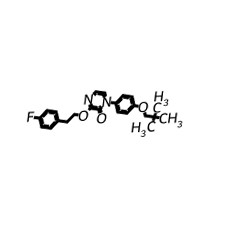 CC(C)(C)COc1ccc(-n2ccnc(OCCc3ccc(F)cc3)c2=O)cc1